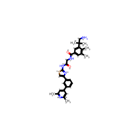 Cc1cc(-c2cccc(-c3csc(NC(=O)CNC(=O)c4cc(C)c(C)c(C(C)(C)CN)c4)n3)c2)cc(C)n1